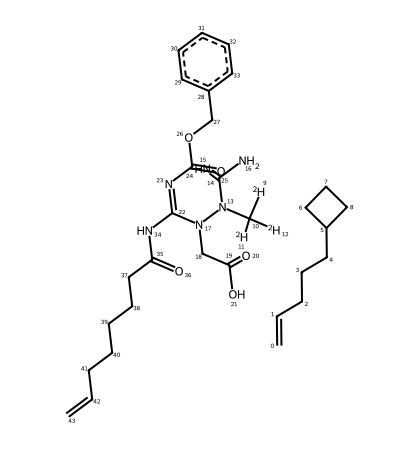 C=CCCCC1CCC1.[2H]C([2H])([2H])N(C(=N)N)N(CC(=O)O)/C(=N\C(=O)OCc1ccccc1)NC(=O)CCCCCC=C